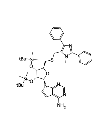 Cn1c(-c2ccccc2)nc(-c2ccccc2)c1CSC[C@H]1O[C@@H](n2ccc3c(N)ncnc32)[C@H](O[Si](C)(C)C(C)(C)C)[C@@H]1O[Si](C)(C)C(C)(C)C